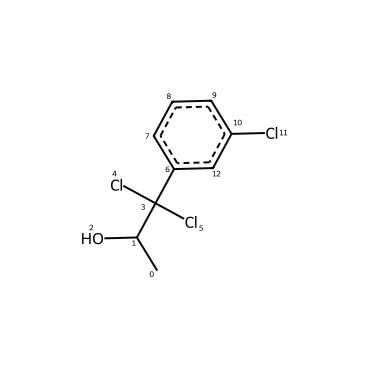 CC(O)C(Cl)(Cl)c1cccc(Cl)c1